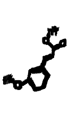 CCCOC(=O)C=Cc1cccc(OCC)c1